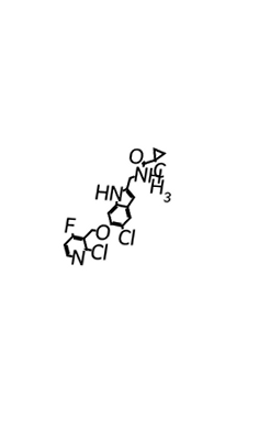 CC1(C(=O)NCc2cc3cc(Cl)c(OCc4c(F)ccnc4Cl)cc3[nH]2)CC1